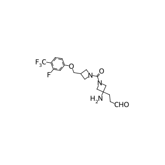 NC1(CCC=O)CN(C(=O)N2CC(COc3ccc(C(F)(F)F)c(F)c3)C2)C1